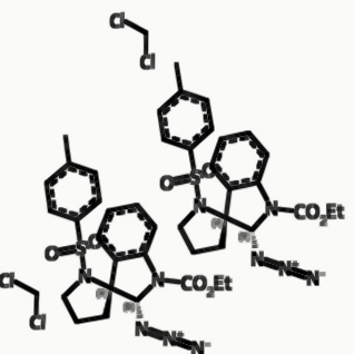 CCOC(=O)N1c2ccccc2[C@]2(CCCN2S(=O)(=O)c2ccc(C)cc2)[C@H]1N=[N+]=[N-].CCOC(=O)N1c2ccccc2[C@]2(CCCN2S(=O)(=O)c2ccc(C)cc2)[C@H]1N=[N+]=[N-].ClCCl.ClCCl